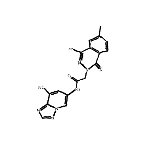 Cc1ccc2c(=O)n(CC(=O)Nc3cc(C#N)c4ncnn4c3)nc(C(C)C)c2c1